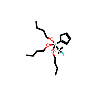 CCCC[O][Zr]([O]CCCC)([O]CCCC)([C]1=CC=CC1)[Ge]([CH3])([CH3])[F]